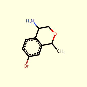 CC1OCC(N)c2ccc(Br)cc21